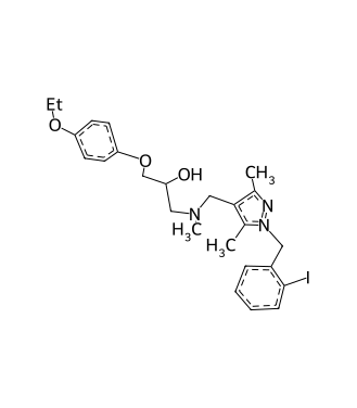 CCOc1ccc(OCC(O)CN(C)Cc2c(C)nn(Cc3ccccc3I)c2C)cc1